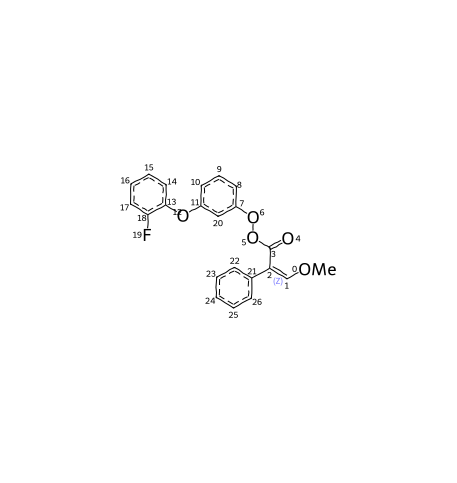 CO/C=C(\C(=O)OOc1cccc(Oc2ccccc2F)c1)c1ccccc1